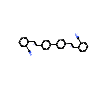 N#Cc1ccccc1/C=C/c1ccc(-c2ccc(/C=C/c3ccccc3C#N)cc2)cc1